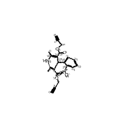 C#CCOC(=O)C1=C(C)NC(C)=C(C(=O)OCC#C)C1c1ccccc1[N+](=O)[O-]